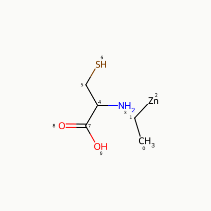 C[CH2][Zn].NC(CS)C(=O)O